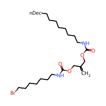 C=C(COC(=O)NCCCCCCCBr)COC(=O)NCCCCCCCCCCCCCCCCCC